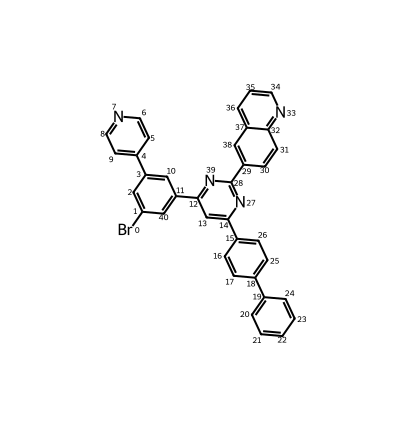 Brc1cc(-c2ccncc2)cc(-c2cc(-c3ccc(-c4ccccc4)cc3)nc(-c3ccc4ncccc4c3)n2)c1